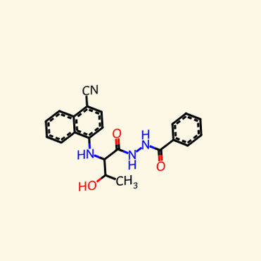 CC(O)C(Nc1ccc(C#N)c2ccccc12)C(=O)NNC(=O)c1ccccc1